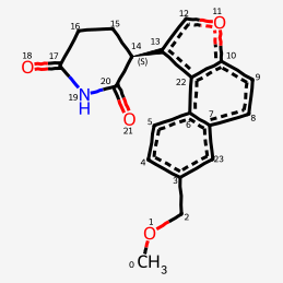 COCc1ccc2c(ccc3occ([C@@H]4CCC(=O)NC4=O)c32)c1